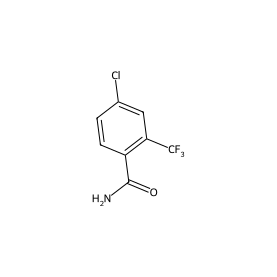 NC(=O)c1ccc(Cl)cc1C(F)(F)F